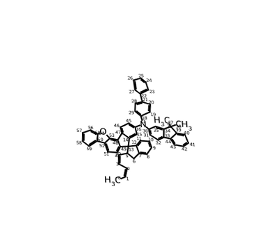 C/C=C\C=C/C1Cc2ccccc2C12c1cc(N(c3ccc(-c4ccccc4)cc3)c3ccc4c(c3)C(C)(C)c3ccccc3-4)ccc1-c1c2ccc2c1oc1ccccc12